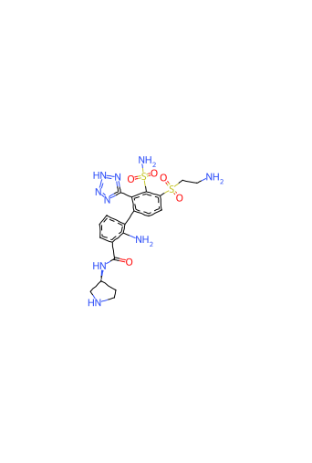 NCCS(=O)(=O)c1ccc(-c2cccc(C(=O)N[C@H]3CCNC3)c2N)c(-c2nn[nH]n2)c1S(N)(=O)=O